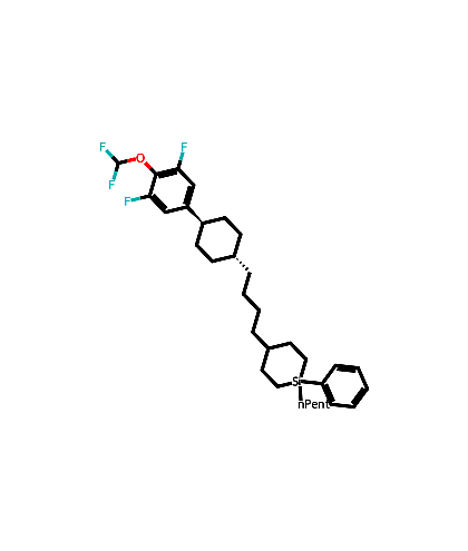 CCCCC[Si]1(c2ccccc2)CCC(CCCC[C@H]2CC[C@H](c3cc(F)c(OC(F)F)c(F)c3)CC2)CC1